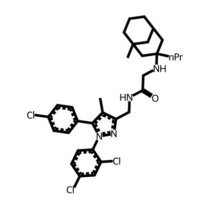 CCCC1(NCC(=O)NCc2nn(-c3ccc(Cl)cc3Cl)c(-c3ccc(Cl)cc3)c2C)CC2CCCC(C)(C2)C1